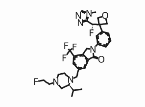 CC(C)[C@H]1CN(CCF)CCN1Cc1cc2c(c(C(F)(F)F)c1)CN(c1cccc(C3([C@H](F)c4nncn4C)COC3)c1)C2=O